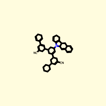 N#CC1=CC(C2CCCCC2)CC(C2=CC(N3C4=C(CCC=C4)C4CC5C=CC=CC5=CC43)CC(C3C=C(C4=CCCC=C4)C=C(C#N)C3)C2)C1